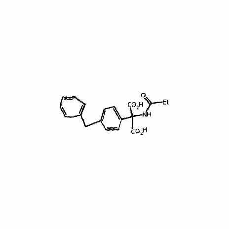 CCC(=O)NC(C(=O)O)(C(=O)O)c1ccc(Cc2ccccc2)cc1